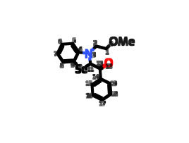 COCCN1c2ccccc2[Se]C1C(=O)c1ccccc1